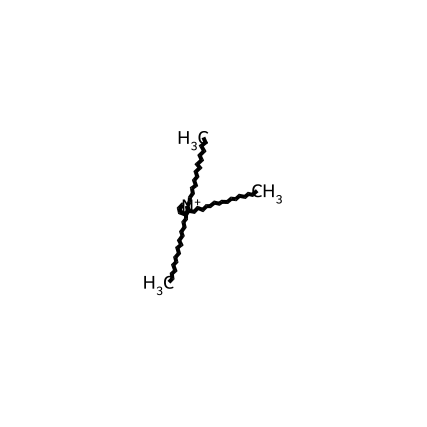 CCCCCCCCCCCCCCCCc1ccc[n+](CCCCCCCCCCCCCCCC)c1CCCCCCCCCCCCCCCC